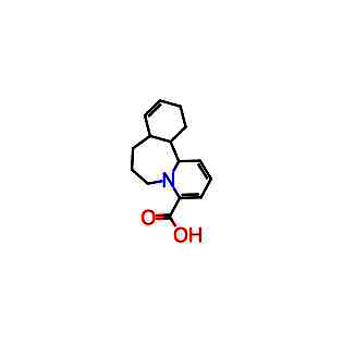 O=C(O)C1=CC=CC2C3CCC=CC3CCCN12